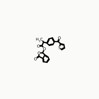 CC(C(=O)OC1OC(=O)c2ccccc21)c1ccc(C(=O)c2cccs2)cc1